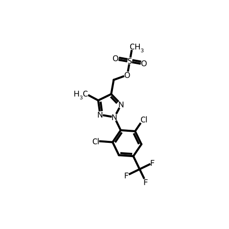 Cc1nn(-c2c(Cl)cc(C(F)(F)F)cc2Cl)nc1COS(C)(=O)=O